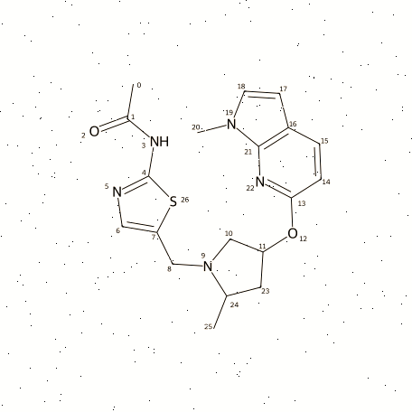 CC(=O)Nc1ncc(CN2CC(Oc3ccc4ccn(C)c4n3)CC2C)s1